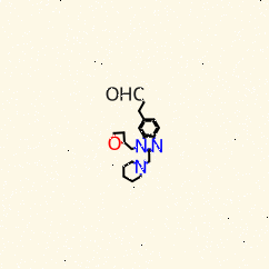 O=CCCc1ccc2nc(CN3CCCCC3)n(CC3CCO3)c2c1